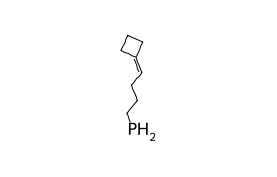 PCCCC=C1CCC1